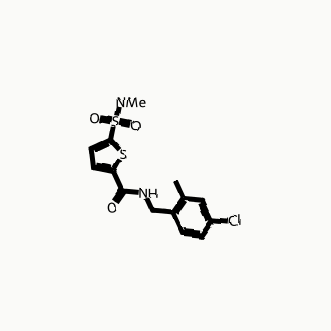 CNS(=O)(=O)c1ccc(C(=O)NCc2ccc(Cl)cc2C)s1